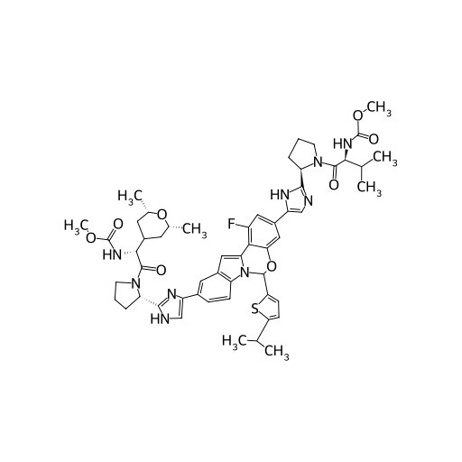 COC(=O)N[C@H](C(=O)N1CCC[C@@H]1c1ncc(-c2cc(F)c3c(c2)OC(c2ccc(C(C)C)s2)n2c-3cc3cc(-c4c[nH]c([C@@H]5CCCN5C(=O)[C@H](NC(=O)OC)C5C[C@@H](C)O[C@@H](C)C5)n4)ccc32)[nH]1)C(C)C